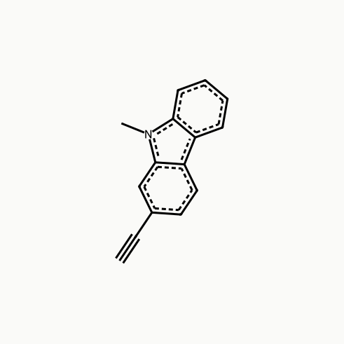 C#Cc1ccc2c3ccccc3n(C)c2c1